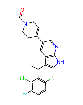 CC(c1c(Cl)ccc(F)c1Cl)c1c[nH]c2ncc(C3=CCN(C=O)CC3)cc12